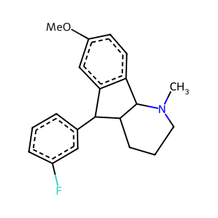 COc1ccc2c(c1)C(c1cccc(F)c1)C1CCCN(C)C21